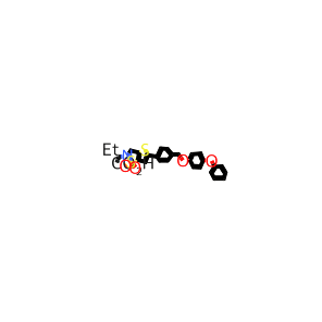 CCC(C(=O)O)N1Cc2sc(-c3ccc(COc4ccc(Oc5ccccc5)cc4)cc3)cc2S1(=O)=O